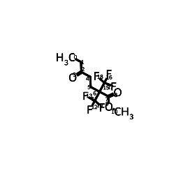 CCC(=O)CCC(C(=O)OC)(C(F)(F)F)C(F)(F)F